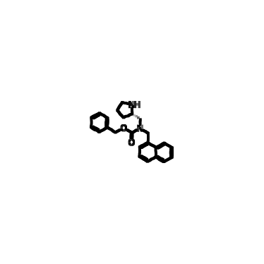 O=C(OCc1ccccc1)N(Cc1cccc2ccccc12)C[C@@H]1CCCN1